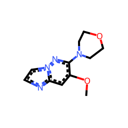 COc1cc2nccn2nc1N1CCOCC1